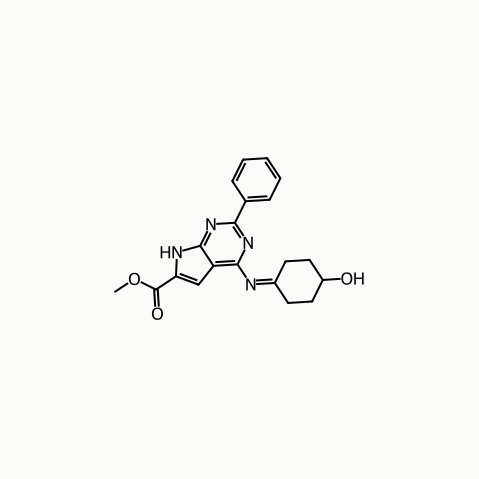 COC(=O)c1cc2c(N=C3CCC(O)CC3)nc(-c3ccccc3)nc2[nH]1